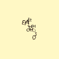 CCN(CC)CCNC(=O)N1CCC(Sc2ccccc2)CC1